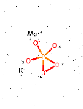 [K+].[Mg+2].[O-]P1([O-])([O-])OO1